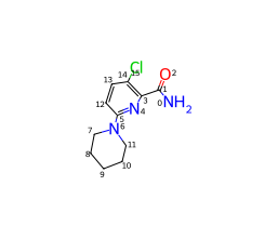 NC(=O)c1nc(N2CCCCC2)ccc1Cl